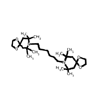 CC1(C)CC2(CC(C)(C)N1CCCCCCN1C(C)(C)CC3(CC1(C)C)OCCO3)OCCO2